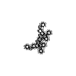 c1ccc(Oc2ccc3c4c5c(cc3c2)N(c2ccccc2)c2ccccc2B5c2cc3c(cc2S4)Sc2c4c(cc5cc(Oc6ccccc6)ccc25)N(c2ccccc2)c2ccccc2B34)cc1